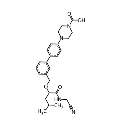 CC(C)CC(OCc1cccc(-c2ccc(N3CCN(C(=O)O)CC3)cc2)c1)C(=O)NCC#N